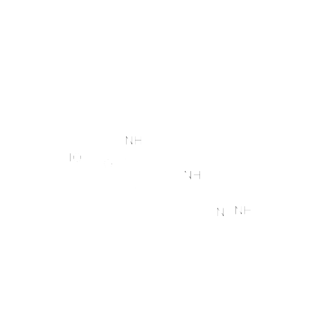 O=C(Nc1ccccc1CO)c1ccc2cc(-c3cc[nH]n3)[nH]c2c1